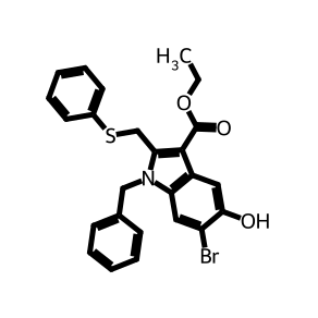 CCOC(=O)c1c(CSc2ccccc2)n(Cc2ccccc2)c2cc(Br)c(O)cc12